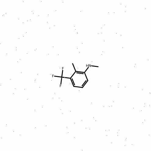 CNc1cccc(C(F)(F)F)c1C